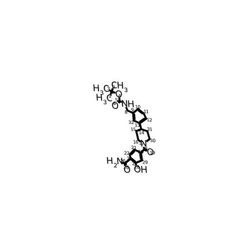 CC(C)(C)OC(=O)NCc1cccc(C2CCN(C(=O)c3ccc(C(N)=O)c(O)c3)CC2)c1